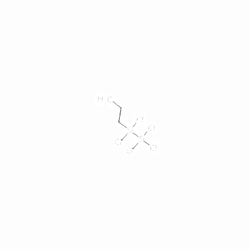 CCC[Si](Cl)(Cl)[Si](Cl)(Cl)Cl